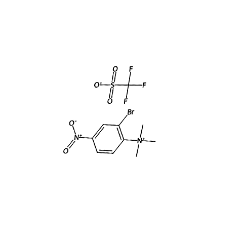 C[N+](C)(C)c1ccc([N+](=O)[O-])cc1Br.O=S(=O)([O-])C(F)(F)F